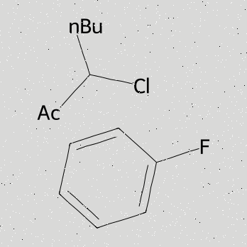 CCCCC(Cl)C(C)=O.Fc1ccccc1